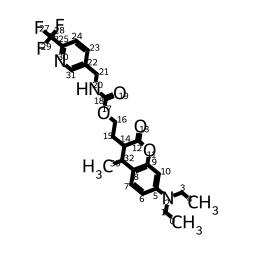 CCN(CC)c1ccc2c(c1)OC(=O)C(CCOC(=O)NCc1ccc(C(F)(F)F)nc1)C2C